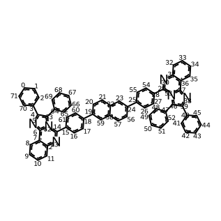 c1ccc(-c2nc3c4ccccc4nc(-c4ccc(-c5ccc6cc(-c7ccc(-c8nc9ccccc9c9nc(-c%10ccccc%10)c(-c%10ccccc%10)n89)cc7)ccc6c5)cc4)n3c2-c2ccccc2)cc1